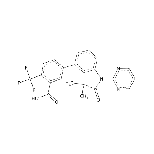 CC1(C)C(=O)N(c2ncccn2)c2cccc(-c3ccc(C(F)(F)F)c(C(=O)O)c3)c21